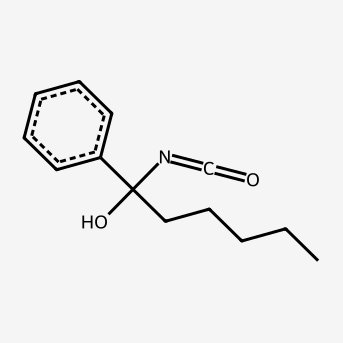 CCCCCC(O)(N=C=O)c1ccccc1